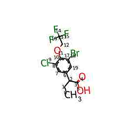 CCC(C(=O)O)c1cc(Cl)c(OCC(F)(F)F)c(Br)c1